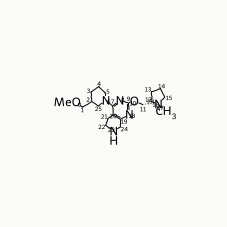 COCC1CCCN(c2nc(OC[C@@H]3CCCN3C)nc3c2CCNC3)C1